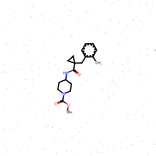 Cc1ccccc1CC1(C(=O)NC2CCN(C(=O)OC(C)(C)C)CC2)CC1